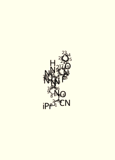 CC(C)CC=C(C#N)C(=O)N1CCC[C@@H](n2nc(-c3ccc(Oc4ccccc4)nc3F)c3c(N)ncnc32)C1